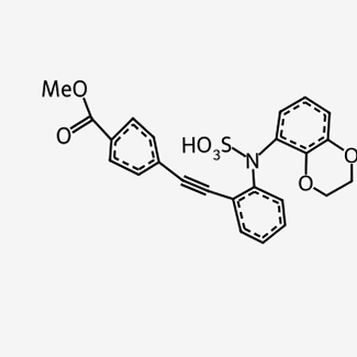 COC(=O)c1ccc(C#Cc2ccccc2N(c2cccc3c2OCCO3)S(=O)(=O)O)cc1